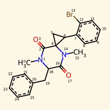 CN1C(=O)C2(CC2c2ccccc2Br)N(C)C(=O)C1Cc1ccccc1